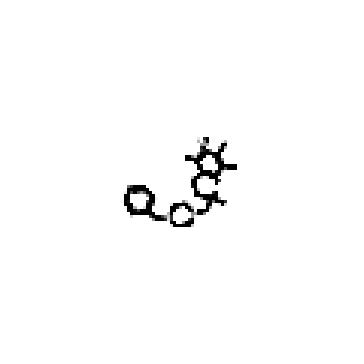 Cc1c(C)c2c(c(C)c1O)CCC(C)(CN1CCN(Cc3ccccc3)CC1)O2